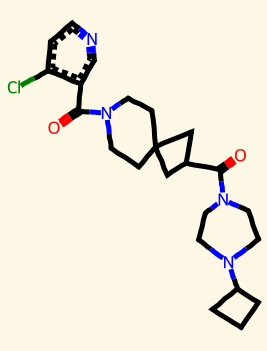 O=C(c1cnccc1Cl)N1CCC2(CC1)CC(C(=O)N1CCN(C3CCC3)CC1)C2